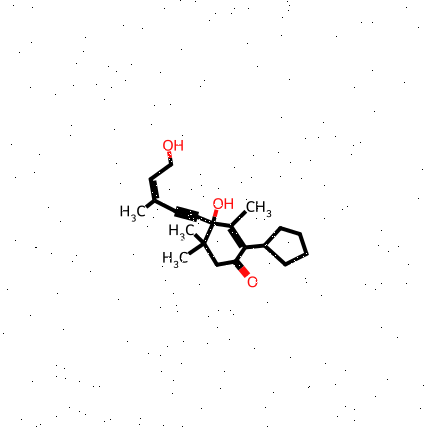 CC1=C(C2CCCC2)C(=O)CC(C)(C)C1(O)C#C/C(C)=C\CO